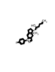 C=CCC[C@@H](O)C[C@H]1CCC2=Cc3c(cnn3-c3ccc(F)cc3)C[C@@]21C